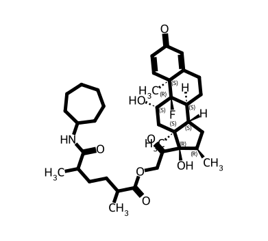 CC(CCC(C)C(=O)OCC(=O)[C@@]1(O)[C@H](C)C[C@H]2[C@@H]3CCC4=CC(=O)C=C[C@]4(C)[C@@]3(F)[C@@H](O)C[C@@]21C)C(=O)NC1CCCCCC1